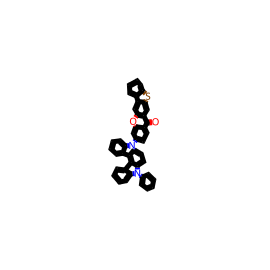 O=c1c2ccc(-n3c4ccccc4c4c5c6ccccc6n(-c6ccccc6)c5ccc43)cc2oc2cc3c(cc12)sc1ccccc13